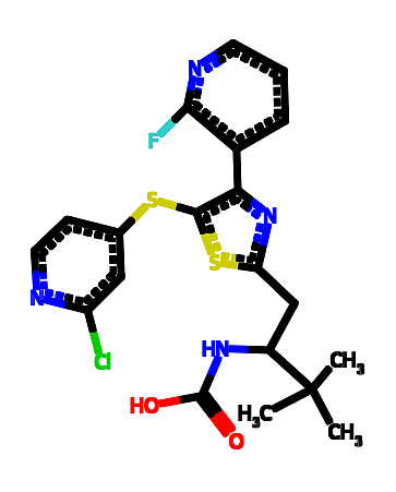 CC(C)(C)C(Cc1nc(-c2cccnc2F)c(Sc2ccnc(Cl)c2)s1)NC(=O)O